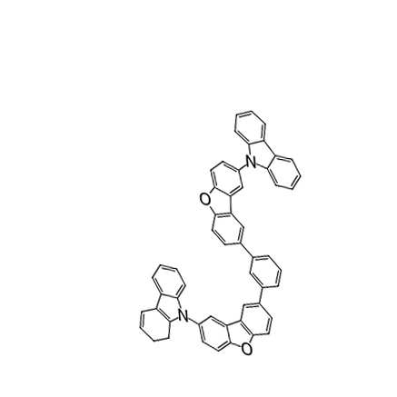 C1=Cc2c(n(-c3ccc4oc5ccc(-c6cccc(-c7ccc8oc9ccc(-n%10c%11ccccc%11c%11ccccc%11%10)cc9c8c7)c6)cc5c4c3)c3ccccc23)CC1